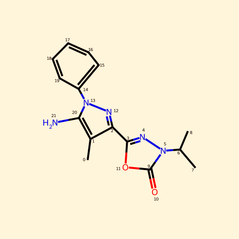 Cc1c(-c2nn(C(C)C)c(=O)o2)nn(-c2ccccc2)c1N